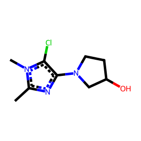 Cc1nc(N2CCC(O)C2)c(Cl)n1C